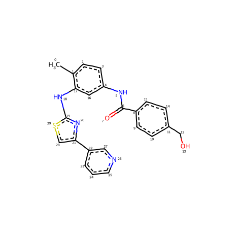 Cc1ccc(NC(=O)c2ccc(CO)cc2)cc1Nc1nc(-c2cccnc2)cs1